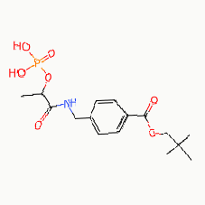 CC(OP(=O)(O)O)C(=O)NCc1ccc(C(=O)OCC(C)(C)C)cc1